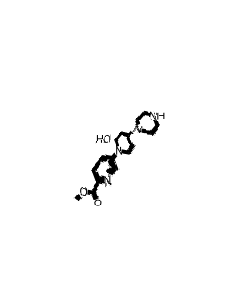 COC(=O)c1ccc(N2CCC(N3CCNCC3)CC2)cn1.Cl